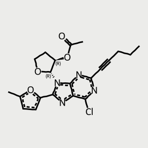 CCCC#Cc1nc(Cl)c2nc(-c3ccc(C)o3)n([C@@H]3OCC[C@H]3OC(C)=O)c2n1